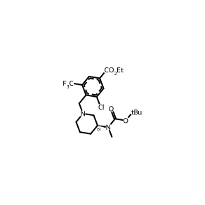 CCOC(=O)c1cc(Cl)c(CN2CCC[C@H](N(C)C(=O)OC(C)(C)C)C2)c(C(F)(F)F)c1